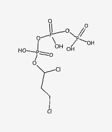 O=P(O)(O)OP(=O)(O)OP(=O)(O)OC(Cl)CCCl